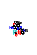 CCn1cc(-c2nc3ccc(C(=O)OC)cc3n(CC3CCCNC3)c2=O)c2ccccc21.O=C(O)C(F)(F)F